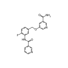 NC(=O)c1cncc(OCc2ccc(F)c(NC(=O)c3cccnc3)c2)c1